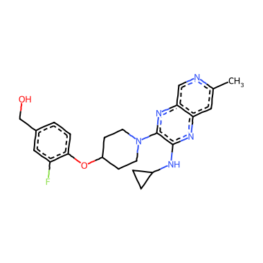 Cc1cc2nc(NC3CC3)c(N3CCC(Oc4ccc(CO)cc4F)CC3)nc2cn1